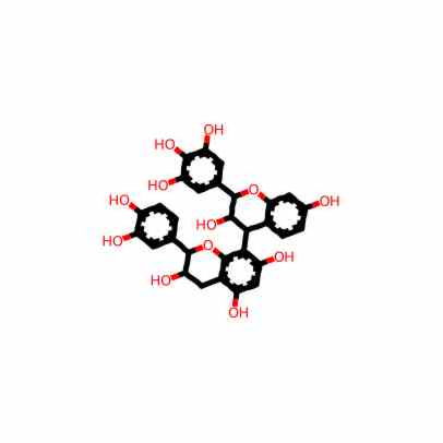 Oc1ccc2c(c1)OC(c1cc(O)c(O)c(O)c1)C(O)C2c1c(O)cc(O)c2c1OC(c1ccc(O)c(O)c1)C(O)C2